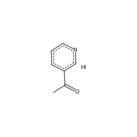 CC(=O)c1cccnc1.I